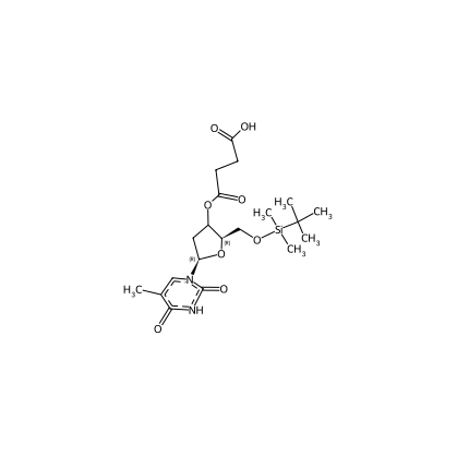 Cc1cn([C@H]2CC(OC(=O)CCC(=O)O)[C@@H](CO[Si](C)(C)C(C)(C)C)O2)c(=O)[nH]c1=O